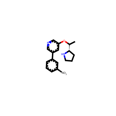 CC(Oc1cncc(-c2cccc([N+](=O)[O-])c2)c1)[C@@H]1CCCN1